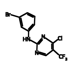 FC(F)(F)c1cnc(Nc2cccc(Br)c2)nc1Cl